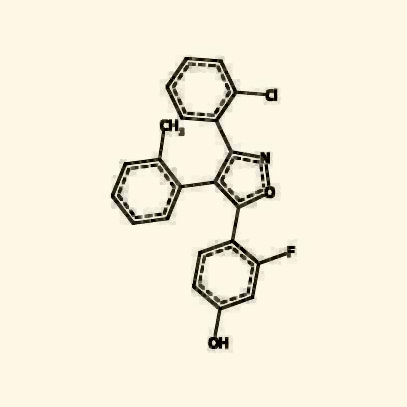 Cc1ccccc1-c1c(-c2ccccc2Cl)noc1-c1ccc(O)cc1F